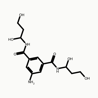 Nc1cc(C(=O)NC(O)CCO)cc(C(=O)NC(O)CCO)c1